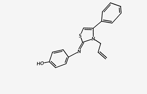 C=CCn1c(-c2ccccc2)cs/c1=N\c1ccc(O)cc1